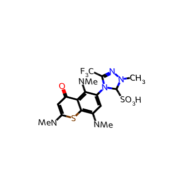 CNc1cc(=O)c2c(NC)c(N3C(C(F)(F)F)=NN(C)C3S(=O)(=O)O)cc(NC)c2s1